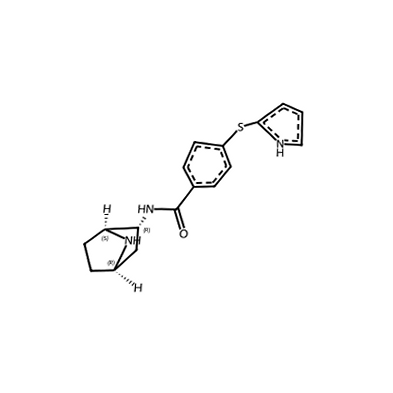 O=C(N[C@@H]1C[C@H]2CC[C@@H]1N2)c1ccc(Sc2ccc[nH]2)cc1